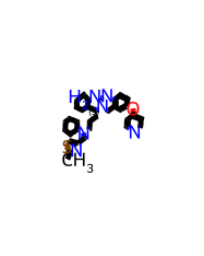 Cc1nc(CN(CCC[C@@H](C2CCCCC2)N2Cc3cc(Oc4ccncc4)ccc3N=C2N)C2CCCCC2)cs1